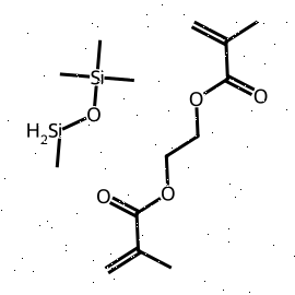 C=C(C)C(=O)OCCOC(=O)C(=C)C.C[SiH2]O[Si](C)(C)C